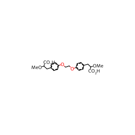 COC(Cc1ccc(OCCOc2ccc(CC(OC)C(=O)O)cc2)cc1)C(=O)O